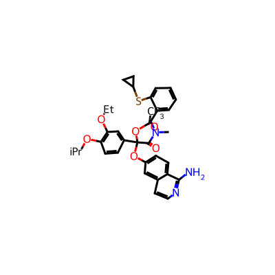 CCOc1cc(C(OC(=O)C(F)(F)F)(Oc2ccc3c(N)nccc3c2)C(=O)N(C)Cc2ccccc2SC2CC2)ccc1OC(C)C